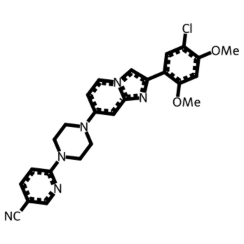 COc1cc(OC)c(-c2cn3ccc(N4CCN(c5ccc(C#N)cn5)CC4)cc3n2)cc1Cl